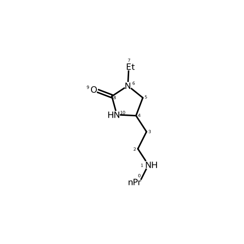 CCCNCCC1CN(CC)C(=O)N1